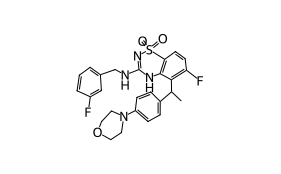 CC(c1ccc(N2CCOCC2)cc1)c1c(F)ccc2c1NC(NCc1cccc(F)c1)=NS2(=O)=O